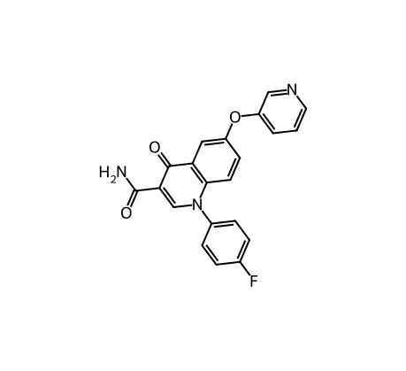 NC(=O)c1cn(-c2ccc(F)cc2)c2ccc(Oc3cccnc3)cc2c1=O